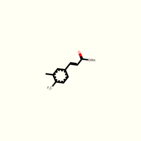 COC(=O)/C=C/c1ccc(C(F)(F)F)c(C)c1